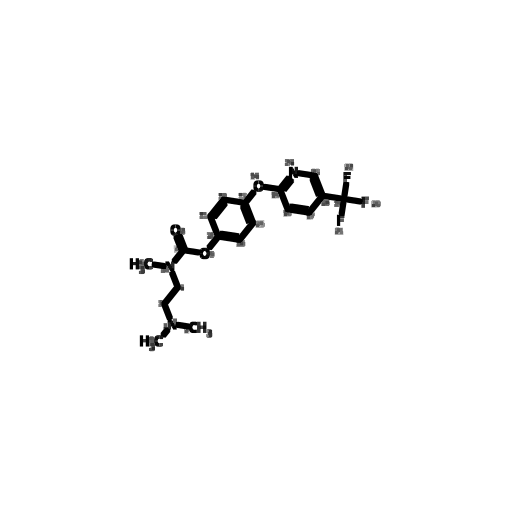 CN(C)CCN(C)C(=O)Oc1ccc(Oc2ccc(C(F)(F)F)cn2)cc1